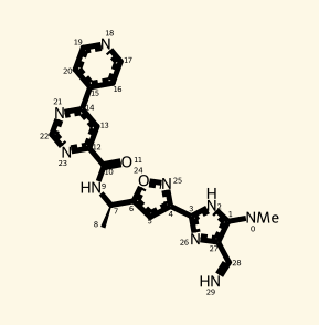 CNc1[nH]c(-c2cc([C@@H](C)NC(=O)c3cc(-c4ccncc4)ncn3)on2)nc1C=N